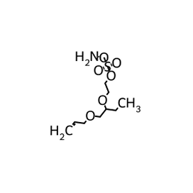 C=CCOCC(CC)OCCOS(=O)(=O)ON